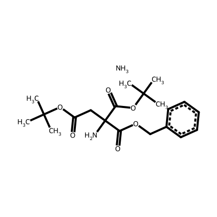 CC(C)(C)OC(=O)CC(N)(C(=O)OCc1ccccc1)C(=O)OC(C)(C)C.N